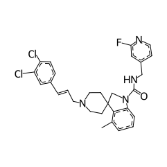 Cc1cccc2c1C1(CCN(C/C=C/c3ccc(Cl)c(Cl)c3)CC1)CN2C(=O)NCc1ccnc(F)c1